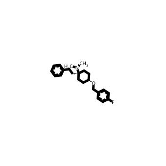 CN(C)[C@]1(CCc2ccccc2)CC[C@@H](OCc2ccc(F)cc2)CC1